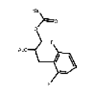 CC(=O)OC(COC(=O)C(C)(C)C)Cc1c(F)cccc1F